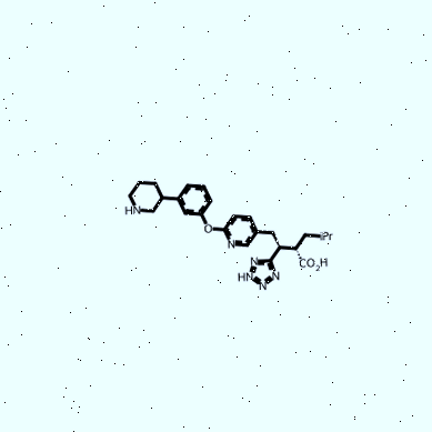 CC(C)C[C@H](C(=O)O)[C@H](Cc1ccc(Oc2cccc(C3CCCNC3)c2)nc1)c1nn[nH]n1